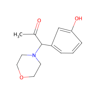 CC(=O)C(c1cccc(O)c1)N1CCOCC1